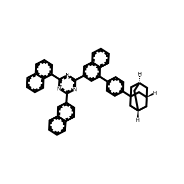 c1ccc2cc(-c3nc(-c4cc(-c5ccc(C67C[C@H]8C[C@H](C6)C[C@@H](C7)C8)cc5)c5ccccc5c4)nc(-c4cccc5ccccc45)n3)ccc2c1